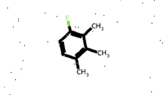 Cc1c[c]c(F)c(C)c1C